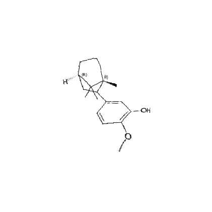 COc1ccc(C2C[C@H]3CC[C@@]2(C)C3(C)C)cc1O